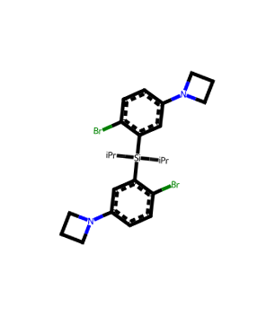 CC(C)[Si](c1cc(N2CCC2)ccc1Br)(c1cc(N2CCC2)ccc1Br)C(C)C